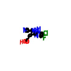 O=C(O)/C=C/c1cccc(-c2cnc(Nc3ccc(F)c(Cl)c3)nc2N2C=C(c3ccncc3)CN2)c1